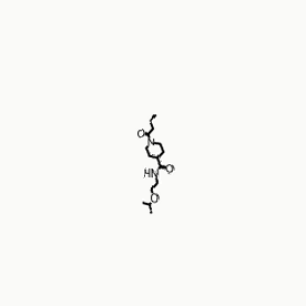 CCCC(=O)N1CCC(C(=O)NCCOC(C)C)CC1